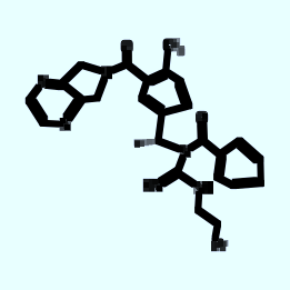 CC(C)CCNC(=N)N(C(=O)c1ccccc1)[C@H](C)c1ccc(C(F)(F)F)c(C(=O)N2Cc3nccnc3C2)c1